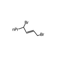 CCCC(Br)C=CCBr